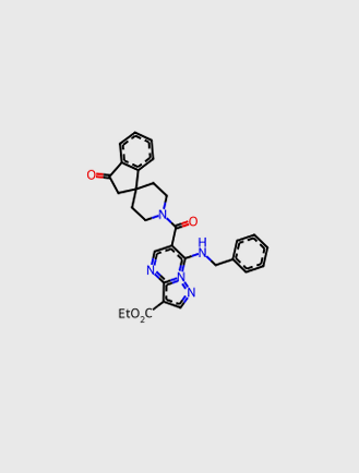 CCOC(=O)c1cnn2c(NCc3ccccc3)c(C(=O)N3CCC4(CC3)CC(=O)c3ccccc34)cnc12